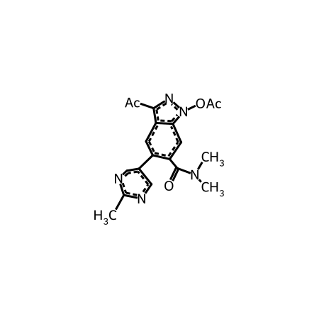 CC(=O)On1nc(C(C)=O)c2cc(-c3cnc(C)nc3)c(C(=O)N(C)C)cc21